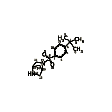 CC(C)(C)c1ccc(S(=O)(=O)N2CC3CC2CN3)cc1